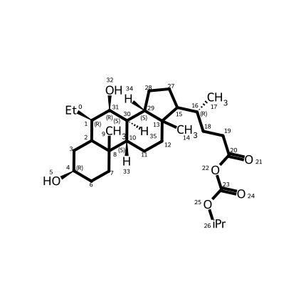 CC[C@@H]1C2C[C@H](O)CCC2(C)[C@H]2CCC3(C)C([C@H](C)CCC(=O)OC(=O)OC(C)C)CC[C@H]3[C@@H]2[C@@H]1O